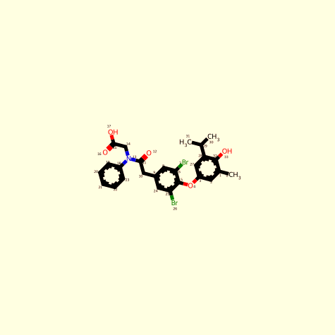 Cc1cc(Oc2c(Br)cc(CC(=O)N(CC(=O)O)c3ccccc3)cc2Br)cc(C(C)C)c1O